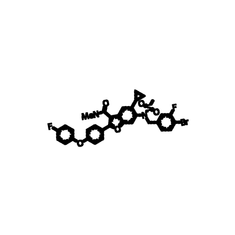 CNC(=O)c1c(-c2ccc(Oc3ccc(F)cc3)cc2)oc2cc(N(Cc3ccc(Br)c(F)c3)S(C)(=O)=O)c(C3CC3)cc12